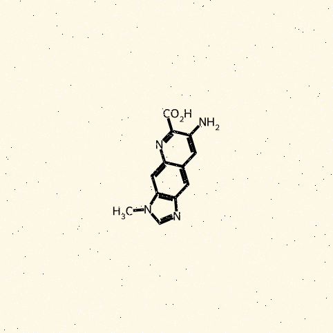 Cn1cnc2cc3cc(N)c(C(=O)O)nc3cc21